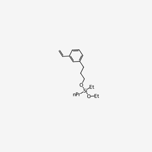 C=Cc1cccc(CCCO[Si](CC)(CCC)OCC)c1